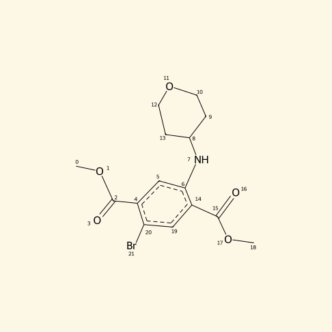 COC(=O)c1cc(NC2CCOCC2)c(C(=O)OC)cc1Br